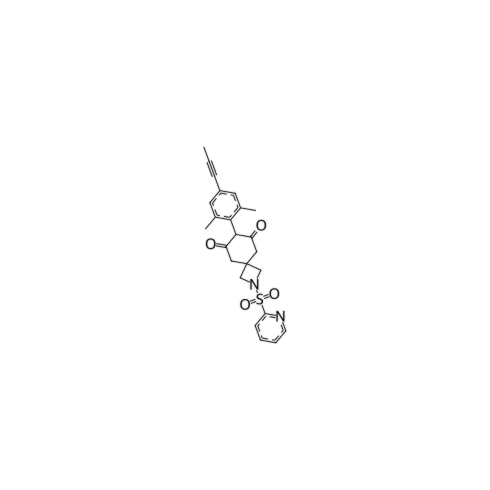 CC#Cc1cc(C)c(C2C(=O)CC3(CC2=O)CN(S(=O)(=O)c2ccccn2)C3)c(C)c1